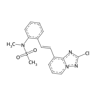 CN(c1ccccc1/C=C/c1cccn2nc(Cl)nc12)S(C)(=O)=O